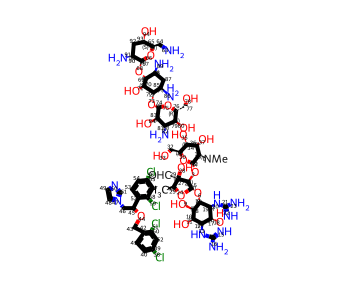 CN[C@@H]1[C@H](O[C@H]2[C@H](O[C@H]3[C@H](O)[C@@H](O)[C@H](NC(=N)N)[C@@H](O)[C@@H]3NC(=N)N)O[C@@H](C)[C@]2(O)C=O)O[C@@H](CO)[C@H](O)[C@H]1O.Clc1ccc(COC(Cn2ccnc2)c2ccc(Cl)cc2Cl)c(Cl)c1.NC[C@H]1O[C@H](O[C@H]2[C@H](O)[C@@H](O[C@H]3O[C@H](CO)[C@@H](O)[C@H](N)[C@H]3O)[C@H](N)C[C@@H]2N)[C@H](N)C[C@@H]1O